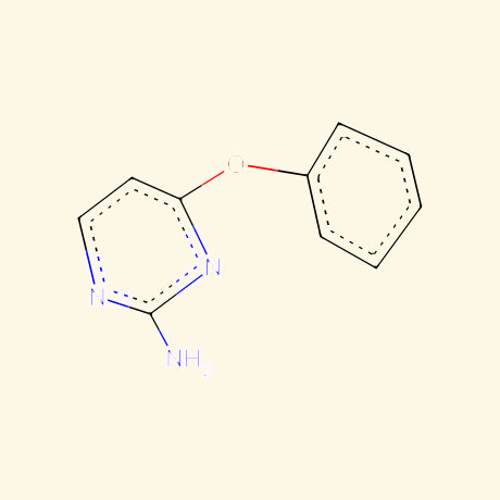 Nc1nccc(Oc2ccccc2)n1